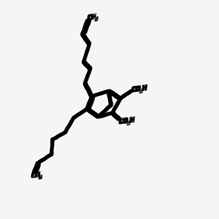 C=CCCCCC1=C(CCCCC=C)C2CC1C(C(=O)O)C2C(=O)O